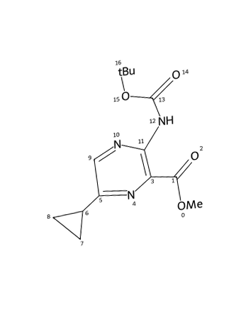 COC(=O)c1nc(C2CC2)cnc1NC(=O)OC(C)(C)C